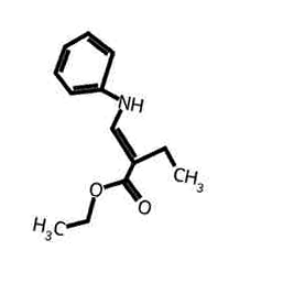 CCOC(=O)/C(=C/Nc1ccccc1)CC